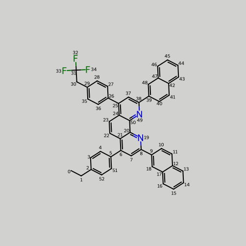 CCc1ccc(-c2cc(-c3ccc4ccccc4c3)nc3c2ccc2c(-c4ccc(CC(F)(F)F)cc4)cc(-c4ccc5ccccc5c4)nc23)cc1